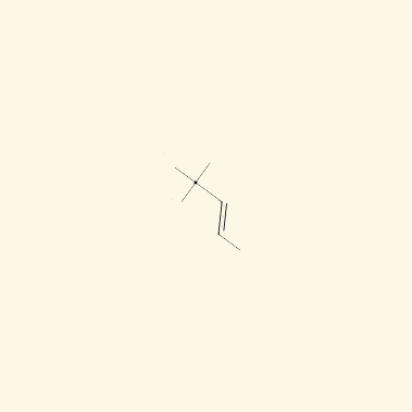 CCCC/C=C/C(C)(CC)C(=O)O